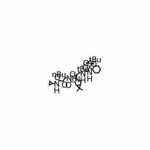 CCCC[C@H](NC(=O)[C@@H]1C2C(CN1C(=O)[C@@H](NC(=O)NC1(CS(=O)(=O)C(C)(C)C)CCCCC1)C(C)(C)C)C2(C)C)C(=O)C(=O)NC1CC1